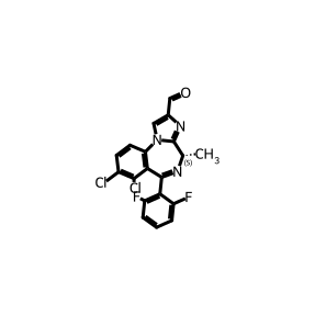 C[C@@H]1N=C(c2c(F)cccc2F)c2c(ccc(Cl)c2Cl)-n2cc(C=O)nc21